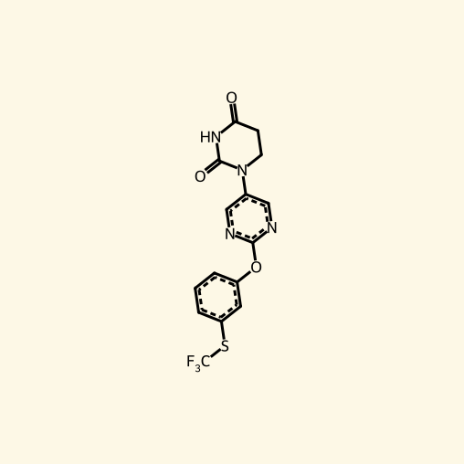 O=C1CCN(c2cnc(Oc3cccc(SC(F)(F)F)c3)nc2)C(=O)N1